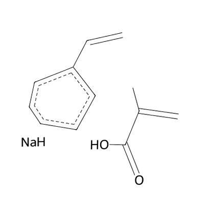 C=C(C)C(=O)O.C=Cc1ccccc1.[NaH]